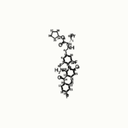 CC(C)C[C@H](NCc1cc(F)c(-n2c(N)c(C(=O)c3ccc(F)cc3F)ccc2=O)c(F)c1)C(=O)OC1CCCC1